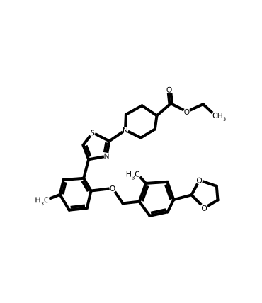 CCOC(=O)C1CCN(c2nc(-c3cc(C)ccc3OCc3ccc(C4OCCO4)cc3C)cs2)CC1